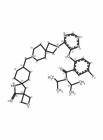 CC(C)N(C(=O)c1cc(F)ccc1Oc1nncnc1N1CC2(CCN(CC3CCC4(CC3)CC3(COC3)C(=O)N4)CC2)C1)C(C)C